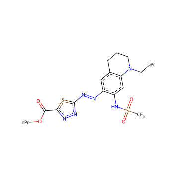 CCCOC(=O)c1nnc(N=Nc2cc3c(cc2NS(=O)(=O)C(F)(F)F)N(CC(C)C)CCC3)s1